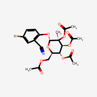 CC(=O)OC[C@H]1O[C@H](Oc2ccc(Br)cc2C#N)[C@@](C)(OC(C)=O)[C@@H](OC(C)=O)[C@@H]1OC(C)=O